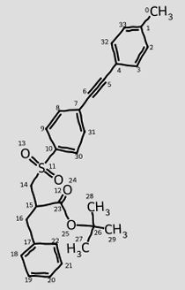 Cc1ccc(C#Cc2ccc(S(=O)(=O)CC(Cc3ccccc3)C(=O)OC(C)(C)C)cc2)cc1